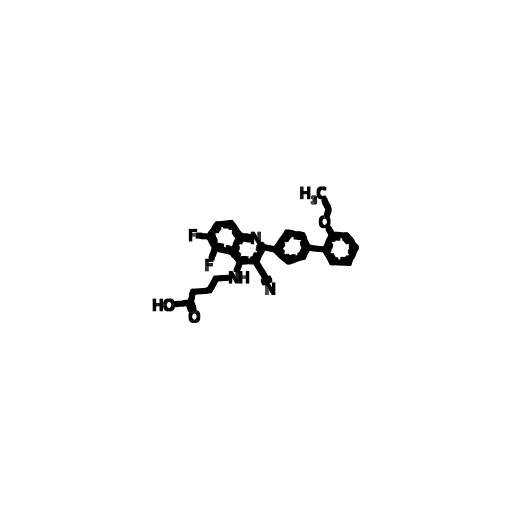 CCOc1ccccc1-c1ccc(-c2nc3ccc(F)c(F)c3c(NCCCC(=O)O)c2C#N)cc1